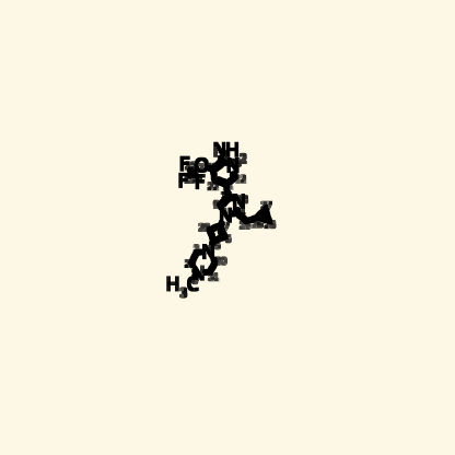 CN1CCN(C2C=C(n3cc(-c4cnc(N)c(OC(F)(F)F)c4)nc3CC3CC3)C2)CC1